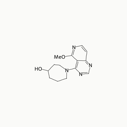 COc1nccc2ncnc(N3CCCC(O)CC3)c12